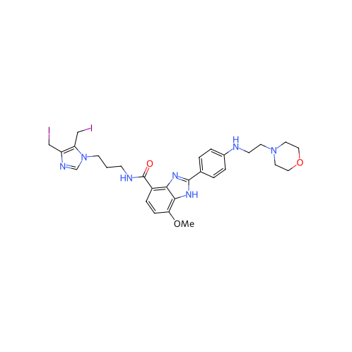 COc1ccc(C(=O)NCCCn2cnc(CI)c2CI)c2nc(-c3ccc(NCCN4CCOCC4)cc3)[nH]c12